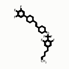 C=CCCCc1cc(F)c(C(F)(F)OC2CCC(/C=C/C3CCC(c4cc(F)c(F)c(F)c4)CC3)CC2)c(F)c1